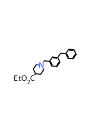 CCOC(=O)C1CCN(Cc2cccc(Cc3ccccc3)c2)CC1